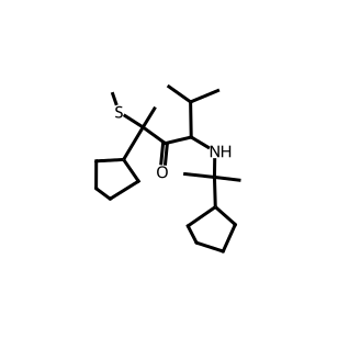 CSC(C)(C(=O)C(NC(C)(C)C1CCCC1)C(C)C)C1CCCC1